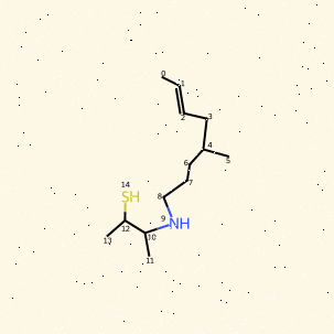 C/C=C/CC(C)CCCNC(C)C(C)S